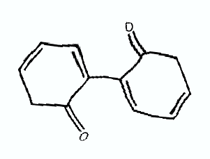 O=C1CC=CC=C1C1=CC=CCC1=O